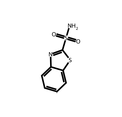 NS(=O)(=O)c1nc2cc[c]cc2s1